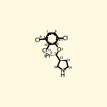 CC(C)[C@H](Oc1c(Cl)ccc(Cl)c1Cl)[C@H]1CCNC1